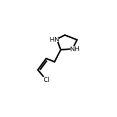 Cl/C=C\CC1NCCN1